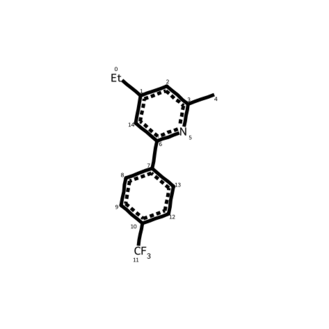 CCc1cc(C)nc(-c2ccc(C(F)(F)F)cc2)c1